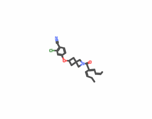 C\C=C/C=C(\C=C/CC)C(=O)N1CC2(CC(Oc3ccc(C#N)c(Cl)c3)C2)C1